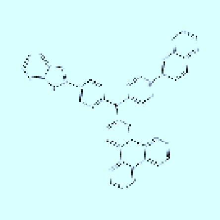 c1ccc2cc(-c3ccc(N(c4ccc(-c5cc6ccccc6s5)cc4)c4ccc5c6ccccc6c6ccccc6c5c4)cc3)ccc2c1